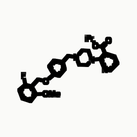 COc1cccc(F)c1COc1ccc(CN2CCN(c3ncccc3C(=O)OC(C)C)CC2)cc1